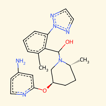 Cc1cccc(-n2nccn2)c1C(O)N1C[C@H](Oc2cc(N)ccn2)CC[C@H]1C